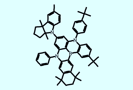 Cc1ccc2c(c1)C1(C)CCCC1(C)N2c1cc2c3c(c1)N(c1ccccc1)c1cc4c(cc1B3c1cc(C(C)(C)C)ccc1N2c1ccc(C(C)(C)C)cc1)C(C)(C)CCC4(C)C